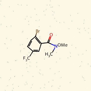 CON(C)C(=O)c1cc(C(F)(F)F)ccc1Br